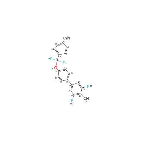 CCCc1ccc(C(F)(F)Oc2ccc(-c3cc(F)c(C#N)c(F)c3)cc2)cc1